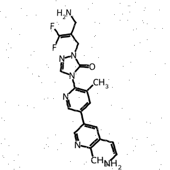 Cc1cc(-c2cnc(C)c(/C=C\N)c2)cnc1-n1cnn(CC(CN)=C(F)F)c1=O